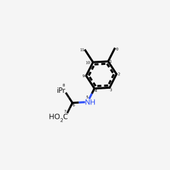 Cc1ccc(NC(C(=O)O)C(C)C)cc1C